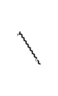 CCCOCCCCCCCCCCCCCCCC(C)F